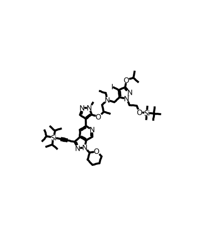 CCN(Cc1c(I)c(OC(C)C)nn1CCO[Si](C)(C)C(C)(C)C)CC(C)Oc1c(-c2cc3c(C#C[Si](C(C)C)(C(C)C)C(C)C)nn(C4CCCCO4)c3cn2)cnn1C